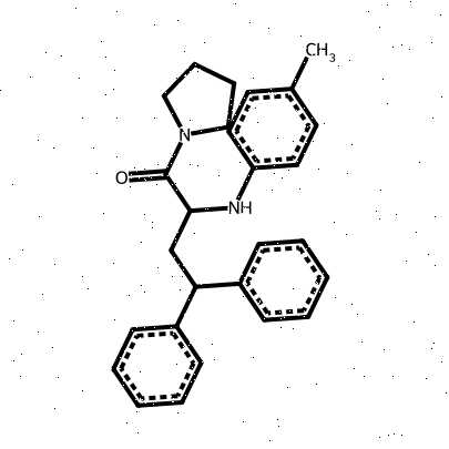 Cc1ccc(NC(CC(c2ccccc2)c2ccccc2)C(=O)N2CCCC2)cc1